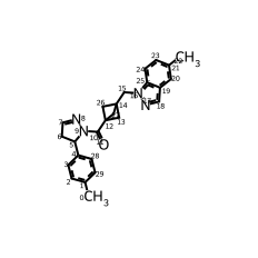 Cc1ccc(C2CC=NN2C(=O)C23CC(Cn4ncc5cc(C)ccc54)(C2)C3)cc1